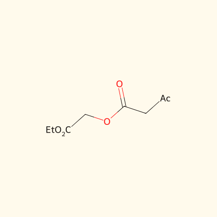 CCOC(=O)COC(=O)CC(C)=O